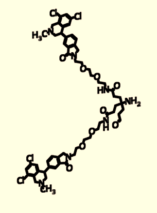 CN1Cc2c(Cl)cc(Cl)cc2C(c2ccc3c(c2)C(=O)N(CCOCCOCCNC(=O)CCC(N)(CCC=O)CCC(=O)NCCOCCOCCN2Cc4ccc(C5CN(C)Cc6c(Cl)cc(Cl)cc65)cc4C2=O)C3)C1